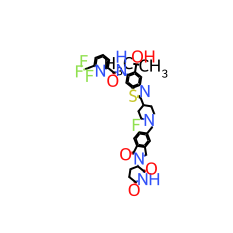 CC(C)(O)c1cc2nc(C3CCN(Cc4cc5c(cc4F)C(=O)N(C4CCC(=O)NC4=O)C5)CC3)sc2cc1NC(=O)c1cccc(C(F)(F)F)n1